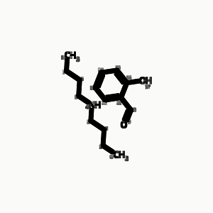 CCCCNCCCC.O=Cc1ccccc1O